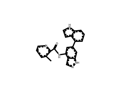 Cc1cccnc1C(=O)Nc1cc(-c2cccc3[nH]ccc23)cc2[nH]ncc12